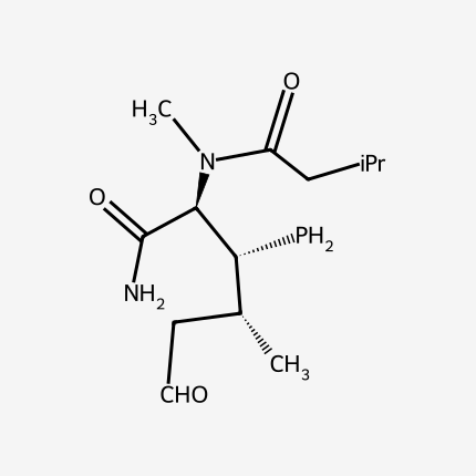 CC(C)CC(=O)N(C)[C@H](C(N)=O)[C@H](P)[C@H](C)CC=O